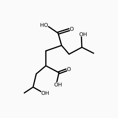 CC(O)CC(CC(CC(C)O)C(=O)O)C(=O)O